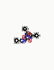 O=C1C(=CN2CC=C(c3ccccc3)CC2)C(=O)N(CCc2ccccc2)S(=O)(=O)N1CCc1ccccc1